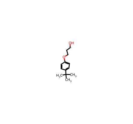 CC(C)(C)c1ccc(OCC[CH]O)cc1